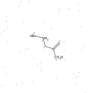 C=C(C[SiH2]CCCC)C(=O)O